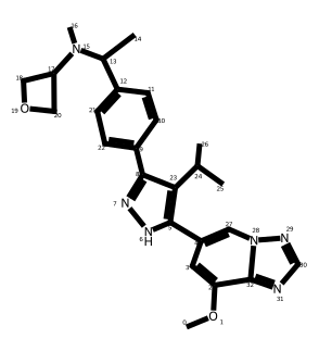 COc1cc(-c2[nH]nc(-c3ccc(C(C)N(C)C4COC4)cc3)c2C(C)C)cn2ncnc12